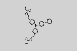 C=CC(=O)OCCc1ccc(N(c2ccc(CCOC(=O)C=C)cc2)c2ccc(-c3ccccc3)cc2)cc1